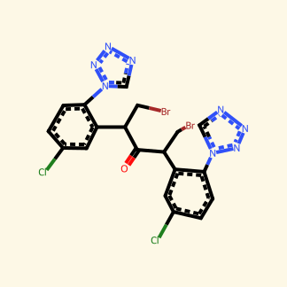 O=C(C(CBr)c1cc(Cl)ccc1-n1cnnn1)C(CBr)c1cc(Cl)ccc1-n1cnnn1